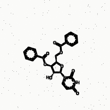 O=C(OC[C@H]1O[C@@H](n2ccc(=O)[nH]c2=O)[C@H](O)[C@H]1OC(=O)c1ccccc1)c1ccccc1